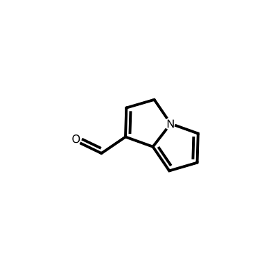 O=CC1=CCn2cccc21